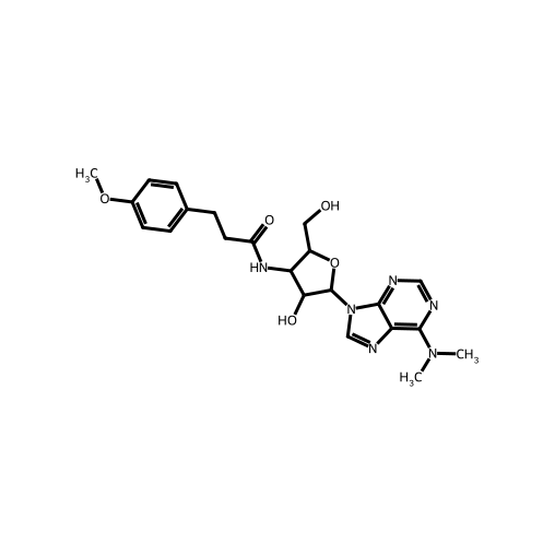 COc1ccc(CCC(=O)NC2C(CO)OC(n3cnc4c(N(C)C)ncnc43)C2O)cc1